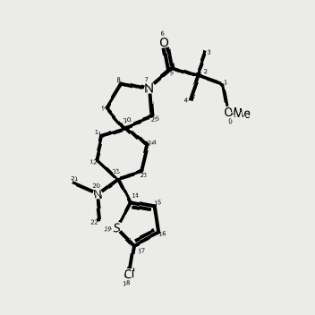 COCC(C)(C)C(=O)N1CCC2(CCC(c3ccc(Cl)s3)(N(C)C)CC2)C1